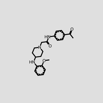 COc1ccccc1NC1CCN(CC(=O)Nc2ccc(C(C)=O)cc2)CC1